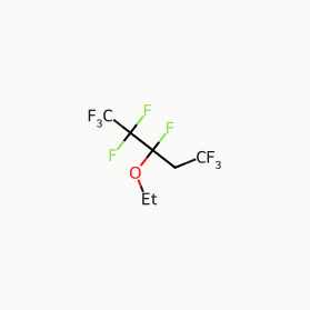 CCOC(F)(CC(F)(F)F)C(F)(F)C(F)(F)F